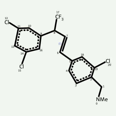 CNCc1ccc(/C=C/C(c2cc(Cl)cc(Cl)c2)C(F)(F)F)cc1Cl